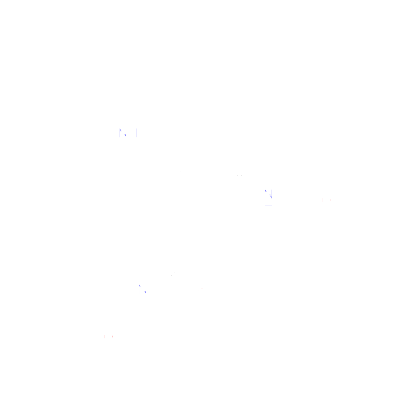 O=CNC(=O)c1cc(C(=O)NC=O)cc(C(=O)NC=O)c1